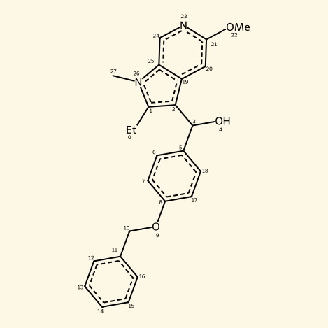 CCc1c(C(O)c2ccc(OCc3ccccc3)cc2)c2cc(OC)ncc2n1C